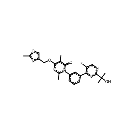 Cc1nc(COc2nc(C)n(-c3cccc(-c4nc(C(C)(C)O)ncc4F)c3)c(=O)c2C)co1